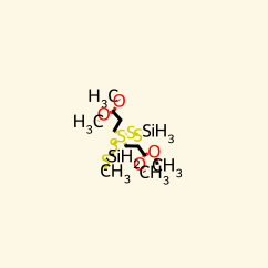 COC(CCS(CCC(OC)OC)(S[SiH2]SC)SS[SiH3])OC